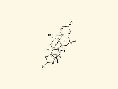 CCC1O[C@@H]2C[C@H]3[C@@H]4C[C@H](F)C5=CC(=O)C=C[C@]5(C)[C@@]4(F)[C@@H](O)C[C@]3(C)[C@]2(C2(C#N)CO2)O1